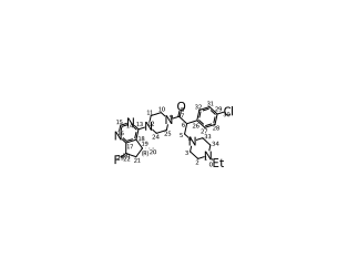 CCN1CCN(CC(C(=O)N2CCN(c3ncnc4c3[C@H](C)C[C@H]4F)CC2)c2ccc(Cl)cc2)CC1